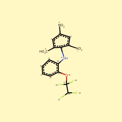 O=C(O)c1cc([N+](=O)[O-])cc([N+](=O)[O-])c1Nc1ccccc1OC(F)(F)C(F)F